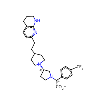 O=C(O)[C@@H](c1ccc(C(F)(F)F)cc1)N1CC[C@@H](N2CCC(CCc3ccc4c(n3)NCCC4)CC2)C1